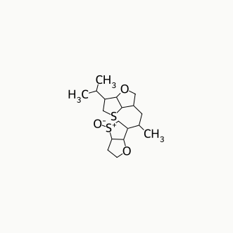 CC(C)C1CSC2C(CC(C)C3C[S+]([O-])C4CCOC34)COC12